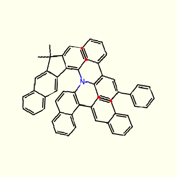 CC1(C)c2cc3ccccc3cc2-c2c(N(c3ccc(-c4ccccc4)cc3-c3ccccc3)c3ccc4ccccc4c3-c3ccc4ccccc4c3)cccc21